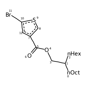 CCCCCCCCC(CCCCCC)COC(=O)c1csc(Br)c1